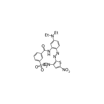 CCN(CC)c1ccc(N=Nc2sc([N+](=O)[O-])cc2[N+](=O)[O-])c(NC(=O)c2cccc(S(=O)(=O)Cl)c2)c1